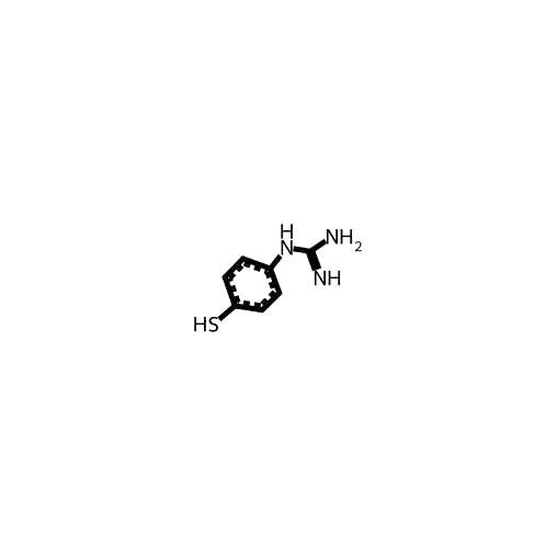 N=C(N)Nc1ccc(S)cc1